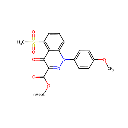 CCCCCCCOC(=O)c1nn(-c2ccc(OC(F)(F)F)cc2)c2cccc(S(C)(=O)=O)c2c1=O